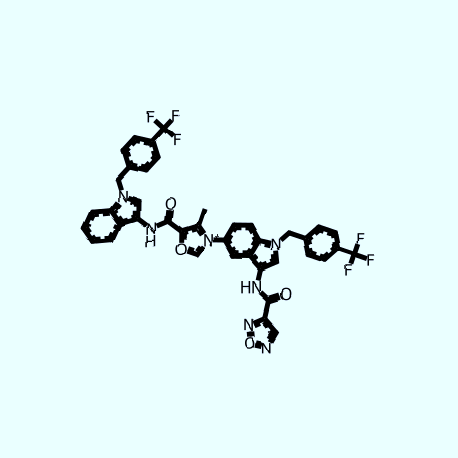 Cc1c(C(=O)Nc2cn(Cc3ccc(C(F)(F)F)cc3)c3ccccc23)oc[n+]1-c1ccc2c(c1)c(NC(=O)c1cnon1)cn2Cc1ccc(C(F)(F)F)cc1